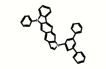 c1ccc(-c2cc(-c3ccccc3)cc(-n3ccc4cc5cc6c(cc5cc43)c3ccccc3n6-c3ccccc3)c2)cc1